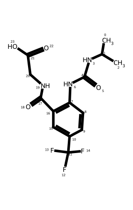 CC(C)NC(=O)Nc1ccc(C(F)(F)F)cc1C(=O)NCC(=O)O